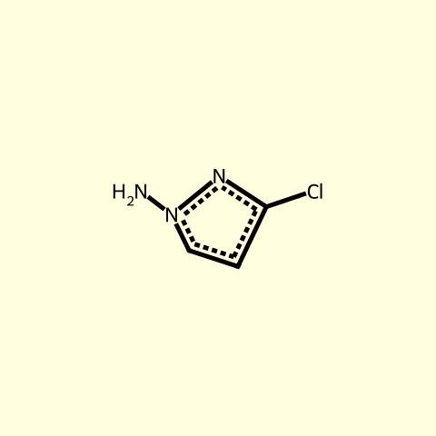 Nn1ccc(Cl)n1